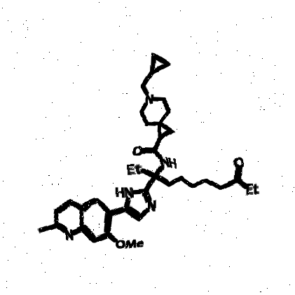 CCC(=O)CCCCCC(CC)(NC(=O)C1CC12CCN(CC1CC1)CC2)c1ncc(-c2cc3ccc(C)nc3cc2OC)[nH]1